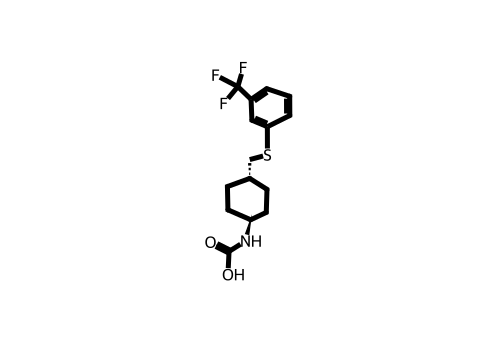 O=C(O)N[C@H]1CC[C@H](CSc2cccc(C(F)(F)F)c2)CC1